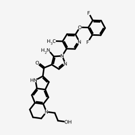 Cc1cc(Oc2c(F)cccc2F)ncc1-n1ncc(C(=O)c2cc3cc4c(cc3[nH]2)CCCN4CCO)c1N